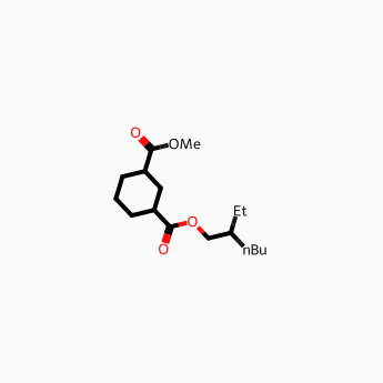 CCCCC(CC)COC(=O)C1CCCC(C(=O)OC)C1